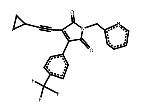 O=C1C(C#CC2CC2)=C(c2ccc(C(F)(F)F)cc2)C(=O)N1Cc1ccccn1